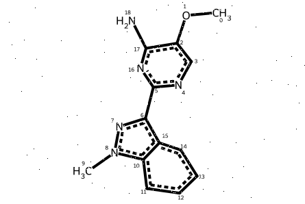 COc1cnc(-c2nn(C)c3ccccc23)nc1N